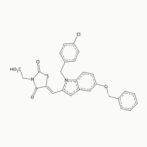 O=C(O)CN1C(=O)SC(=Cc2cc3cc(OCc4ccccc4)ccc3n2Cc2ccc(Cl)cc2)C1=O